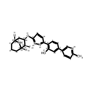 Cc1ccc(-c2ccc(-c3ccc(O[C@@H]4C[C@H]5CCC[C@H](N5)[C@@H]4F)nn3)c(O)c2)cn1